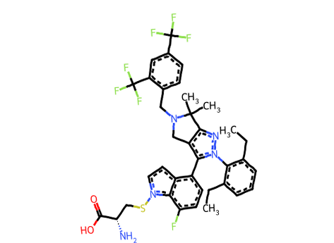 CCc1cccc(CC)c1-n1nc2c(c1-c1ccc(F)c3c1ccn3SC[C@H](N)C(=O)O)CN(Cc1ccc(C(F)(F)F)cc1C(F)(F)F)C2(C)C